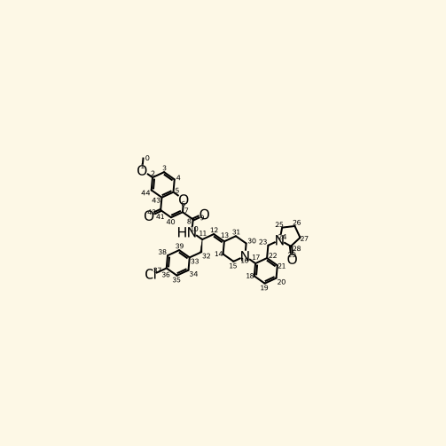 COc1ccc2oc(C(=O)N[C@@H](C=C3CCN(c4ccccc4CN4CCCC4=O)CC3)Cc3ccc(Cl)cc3)cc(=O)c2c1